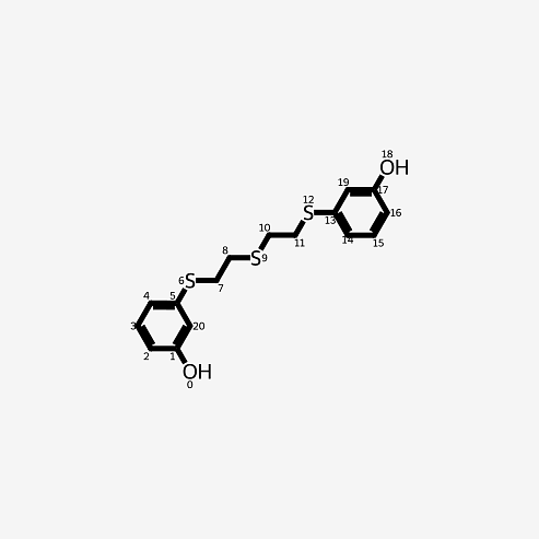 Oc1cccc(SCCSCCSc2cccc(O)c2)c1